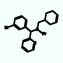 CCc1cccc(C(c2ccccn2)N(CC2CC=CCC2)C(C)C)c1